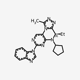 CC[C@@H]1c2nnc(C)n2-c2cnc(-n3cnc4ccccc43)nc2N1C1CCCC1